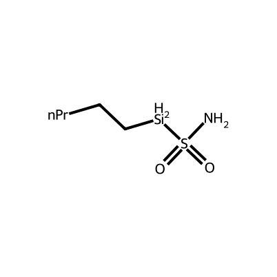 CCCCC[SiH2]S(N)(=O)=O